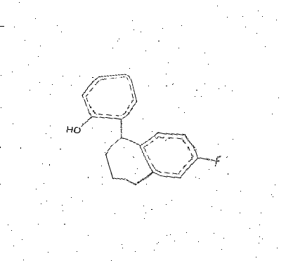 Oc1ccccc1C1CCCc2cc(F)ccc21